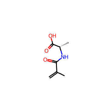 C=C(C)C(=O)N[C@@H](C)C(=O)O